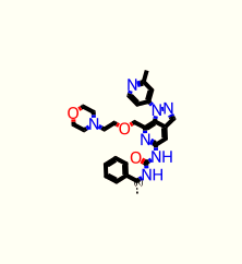 Cc1cc(-n2ncc3cc(NC(=O)N[C@H](C)c4ccccc4)nc(COCCN4CCOCC4)c32)ccn1